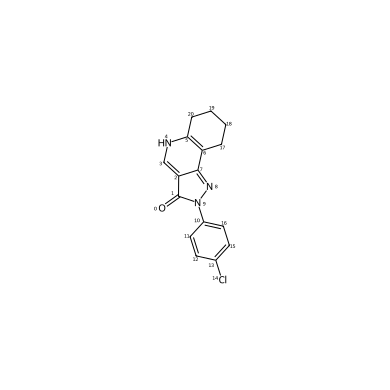 O=c1c2c[nH]c3c(c-2nn1-c1ccc(Cl)cc1)CCCC3